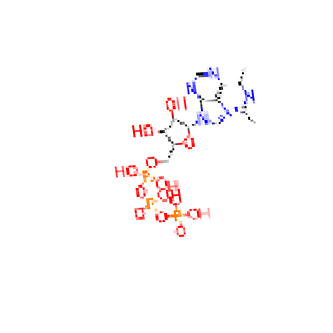 CC1=NC(C)c2ncnc3c2[n+]1cn3C1OC(COP(=O)(O)OP(=O)(O)OP(=O)(O)O)C(O)C1O